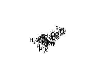 CC[C@@H](C)[C@H](NNC(=O)c1cc(=O)c2c(OCc3ccccc3Br)cccc2o1)C(=O)N[C@@H](CC(C)C)C(=O)OC